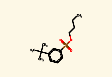 CCCCOS(=O)(=O)c1cccc(C(C)(C)C)c1